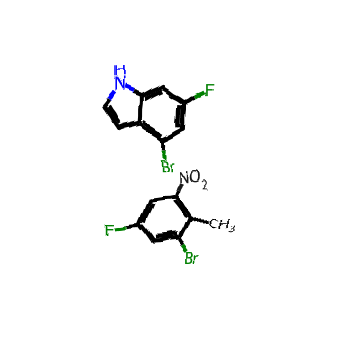 Cc1c(Br)cc(F)cc1[N+](=O)[O-].Fc1cc(Br)c2cc[nH]c2c1